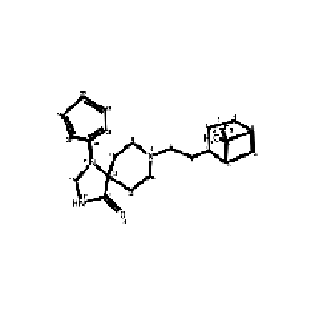 CC1(C)C2CCC(CCN3CCC4(CC3)C(=O)NCN4c3ccccc3)C1C2